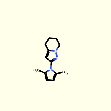 Cc1ccc(C)n1-c1cc2n(n1)CCCC2